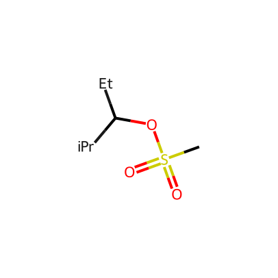 CCC(OS(C)(=O)=O)C(C)C